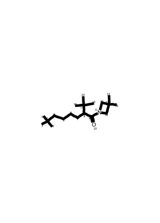 CC(C)(C)CCCCC(C(=O)N1CC(C)(C)C1)C(C)(C)C